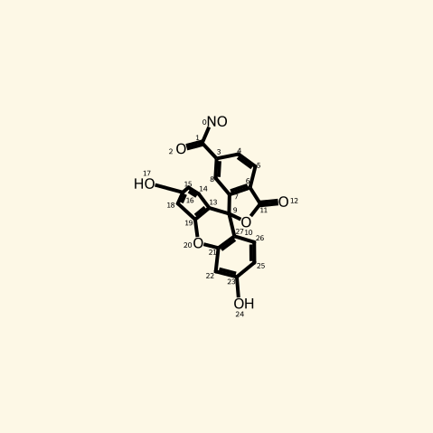 O=NC(=O)c1ccc2c(c1)C1(OC2=O)c2ccc(O)cc2Oc2cc(O)ccc21